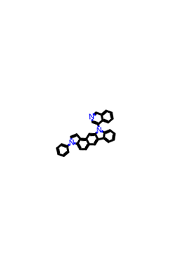 c1ccc(-n2ccc3c4cc5c(cc4ccc32)c2ccccc2n5-c2cncc3ccccc23)cc1